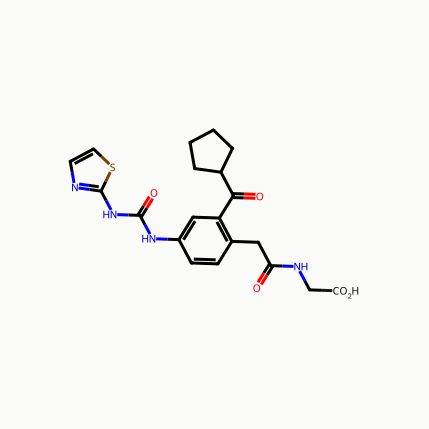 O=C(O)CNC(=O)Cc1ccc(NC(=O)Nc2nccs2)cc1C(=O)C1CCCC1